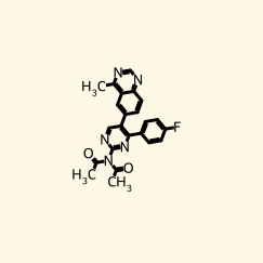 CC(=O)N(C(C)=O)c1ncc(-c2ccc3ncnc(C)c3c2)c(-c2ccc(F)cc2)n1